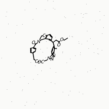 CCOC(=O)CC1c2ccc3c(c2)CN(CC3)C(=O)c2ccc(cc2)CCOCCn2nnc3c(C)c1ccc32